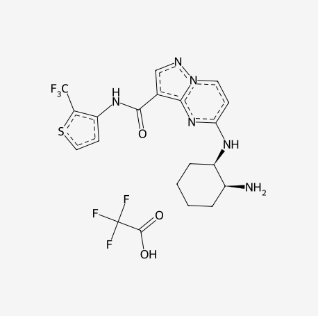 N[C@H]1CCCC[C@H]1Nc1ccn2ncc(C(=O)Nc3ccsc3C(F)(F)F)c2n1.O=C(O)C(F)(F)F